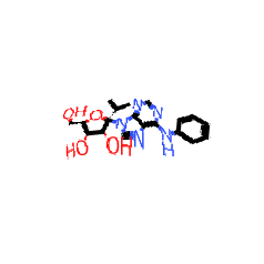 CC(C)[C@@]1(n2cnc3c(Nc4ccccc4)ncnc32)O[C@H](CO)[C@@H](O)[C@H]1O